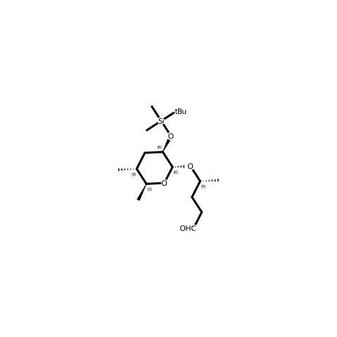 C[C@H](CCC=O)O[C@@H]1O[C@@H](C)[C@H](C)C[C@H]1O[Si](C)(C)C(C)(C)C